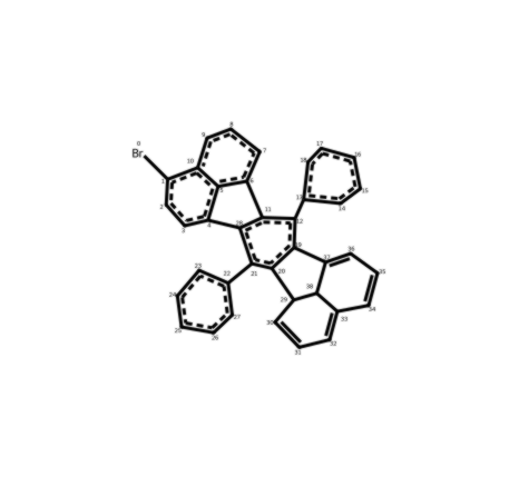 Brc1ccc2c3c(cccc13)-c1c(-c3ccccc3)c3c(c(-c4ccccc4)c1-2)C1C=CC=C2C=CC=C3C21